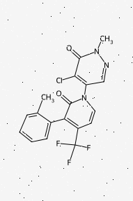 Cc1ccccc1-c1c(C(F)(F)F)ccn(-c2cnn(C)c(=O)c2Cl)c1=O